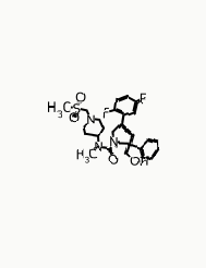 CN(C(=O)N1CC(c2cc(F)ccc2F)=CC1(CO)c1ccccc1)C1CCN(CS(C)(=O)=O)CC1